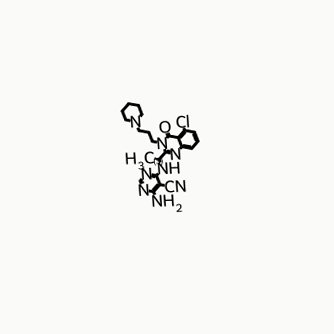 C[C@H](Nc1ncnc(N)c1C#N)c1nc2cccc(Cl)c2c(=O)n1CCCN1CCCCC1